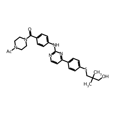 CC(=O)N1CCN(C(=O)c2ccc(Nc3nccc(-c4ccc(SCC(C)(C)CO)cc4)n3)cc2)CC1